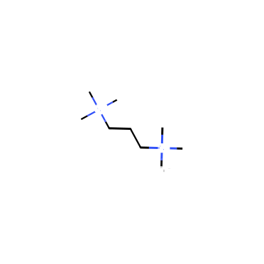 CCC[N+](C)(C)CCC[N+](C)(C)C